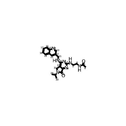 CC(=O)NCCNc1nc(NCc2cnc3ccccc3c2)c2c(n1)C(=O)N(C(C)C)C2